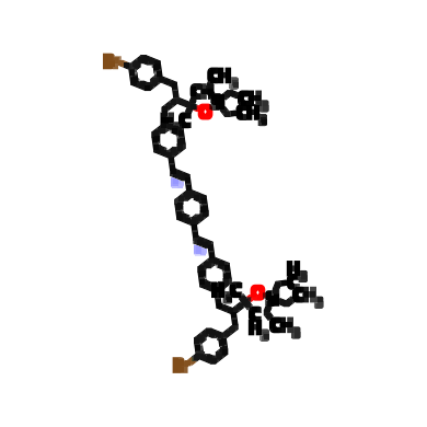 CC[Si](CC)(CC)OC(C)(C)C(Cc1ccc(Br)cc1)Cc1ccc(/C=C/c2ccc(/C=C/c3ccc(CC(Cc4ccc(Br)cc4)C(C)(C)O[Si](CC)(CC)CC)cc3)cc2)cc1